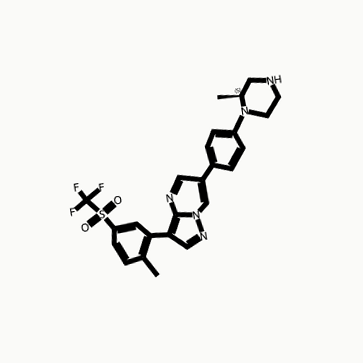 Cc1ccc(S(=O)(=O)C(F)(F)F)cc1-c1cnn2cc(-c3ccc(N4CCNC[C@@H]4C)cc3)cnc12